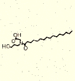 CCCCCCCCCCCCCCCC(=O)N(CCCO)CC(=O)O